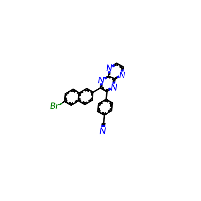 N#Cc1ccc(-c2nc3nccnc3nc2-c2ccc3cc(Br)ccc3c2)cc1